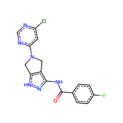 O=C(Nc1n[nH]c2c1CN(c1cc(Cl)ncn1)C2)c1ccc(F)cc1